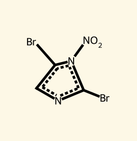 O=[N+]([O-])n1c(Br)cnc1Br